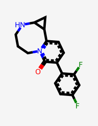 O=c1c(-c2ccc(F)cc2F)ccc2n1CCCNC1CC21